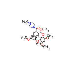 COC(=O)C(=C(/C)c1cc(OC)cc(OC)c1)/C(=C\c1cc(OC)cc(OC)c1)C(=O)N1CCN(C)CC1